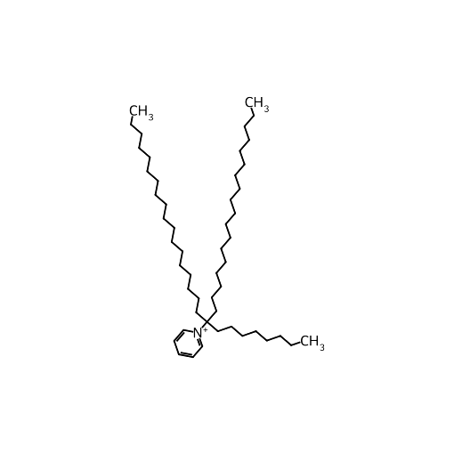 CCCCCCCCCCCCCCCCCCC(CCCCCCCC)(CCCCCCCCCCCCCCCCCC)[n+]1ccccc1